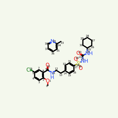 COc1ccc(Cl)cc1C(=O)NCCc1ccc(S(=O)(=O)NC(=O)NC2CCCCC2)cc1.Cc1ccccn1